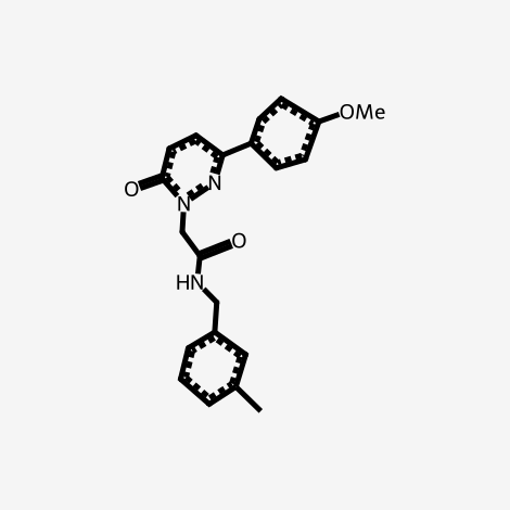 COc1ccc(-c2ccc(=O)n(CC(=O)NCc3cccc(C)c3)n2)cc1